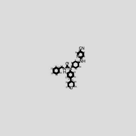 N#Cc1ccc(NC2CCC(N(C(=O)NCc3ccccc3)c3ccc(C4=CCOCC4)cc3)CC2)nc1